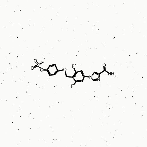 NC(=O)c1cn(-c2cc(F)c(COc3ccc(OS(=O)(=O)F)cc3)c(F)c2)cn1